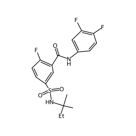 CCC(C)(C)NS(=O)(=O)c1ccc(F)c(C(=O)Nc2ccc(F)c(F)c2)c1